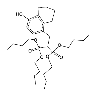 CCCCOP(=O)(OCCCC)C(Cc1ccc(O)c2c1CCCC2)P(=O)(OCCCC)OCCCC